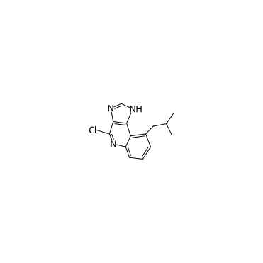 CC(C)Cc1cccc2nc(Cl)c3nc[nH]c3c12